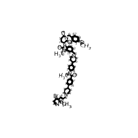 COc1ccc(CN2C(=O)CCC(n3c(=O)n(C)c4cc(CN5CCC(c6ccc(N(C)C(=O)c7ccc(C8CCN(Cc9cc%10c(Br)ccnc%10n9C)CC8)cc7)cc6)CC5)ccc43)C2=O)cc1